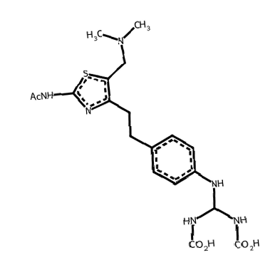 CC(=O)Nc1nc(CCc2ccc(NC(NC(=O)O)NC(=O)O)cc2)c(CN(C)C)s1